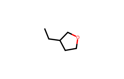 CCC1CCOC1